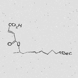 CCCCCCCCCCCCCCCCCC(C)OC(=O)C=CC(=O)O